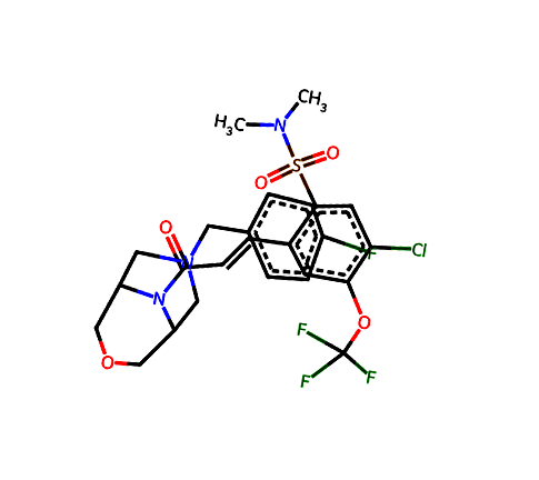 CN(C)S(=O)(=O)c1cc(Cl)c(OC(F)(F)F)cc1C=CC(=O)N1C2COCC1CN(Cc1ccc(F)cc1)C2